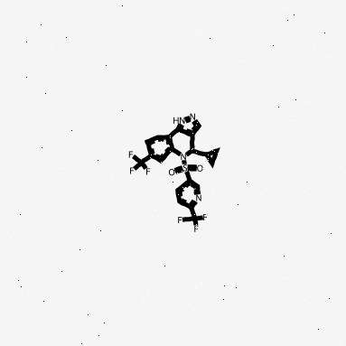 O=S(=O)(c1ccc(C(F)(F)F)nc1)N1c2cc(C(F)(F)F)ccc2-c2[nH]ncc2C1C1CC1